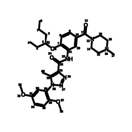 CCC[C@H](CC)Oc1ccc(C(=O)N2CCN(C)CC2)cc1NC(=O)c1nnn(-c2cc(OC)ccc2OC)c1C